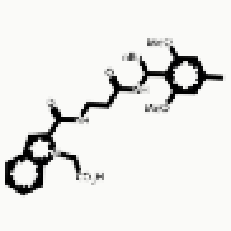 CCCCC(NC(=O)CCNC(=O)c1cc2ccccc2n1CC(=O)O)c1c(OC)cc(C)cc1OC